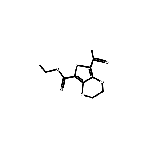 CCOC(=O)c1sc(C(C)=O)c2c1OCCO2